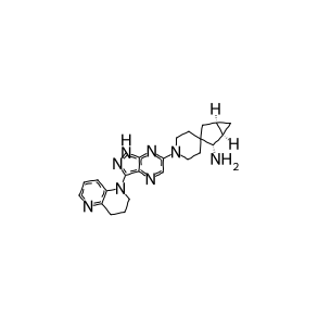 N[C@H]1[C@@H]2C[C@@H]2CC12CCN(c1cnc3c(N4CCCc5ncccc54)n[nH]c3n1)CC2